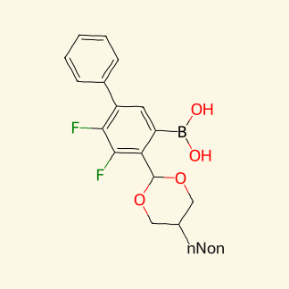 CCCCCCCCCC1COC(c2c(B(O)O)cc(-c3ccccc3)c(F)c2F)OC1